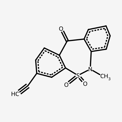 C#Cc1ccc2c(c1)S(=O)(=O)N(C)c1ccccc1C2=O